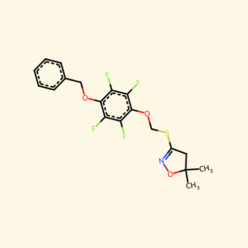 CC1(C)CC(SCOc2c(F)c(F)c(OCc3ccccc3)c(F)c2F)=NO1